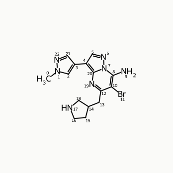 Cn1cc(-c2cnn3c(N)c(Br)c(CC4CCNC4)nc23)cn1